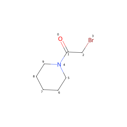 O=C(CBr)N1CCCCC1